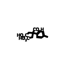 Cc1ccc(C(CC(=O)O)(CC(=O)O)C(=O)O)cc1